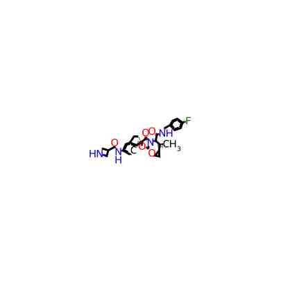 C[C@@H](C1CC1)C(C(=O)NCc1ccc(F)cc1)N1C(=O)O[C@]2(CCc3cc(NC(=O)C4CNC4)ccc32)C1=O